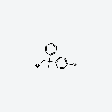 CC(CN)(c1ccccc1)c1ccc(O)cc1